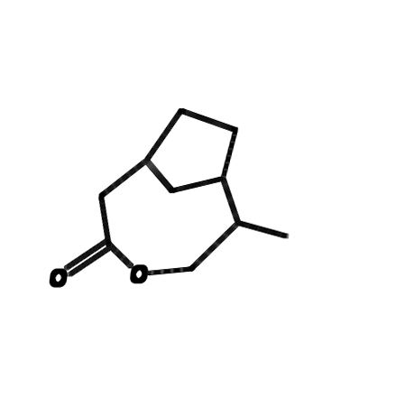 CC1COC(=O)CC2CCC1C2